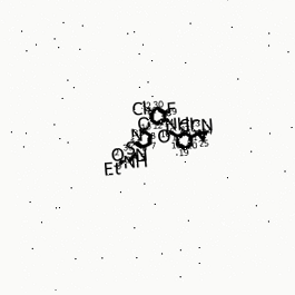 CCC(=O)Nc1nc2ccc(Oc3cc(NC(=O)c4cccc(C5(C#N)CC5)c4Cl)c(F)cc3Cl)nc2s1